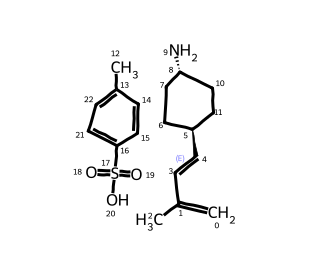 C=C(C)/C=C/[C@H]1CC[C@H](N)CC1.Cc1ccc(S(=O)(=O)O)cc1